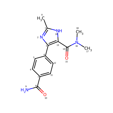 Cc1nc(-c2ccc(C(N)=O)cc2)c(C(=O)N(C)C)[nH]1